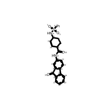 CC(C)S(=O)(=O)NC1CCC(C(=O)Nc2ccc3c(c2)C(=O)c2ccccc2-3)CC1